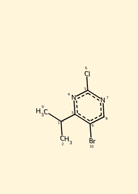 C[C](C)c1nc(Cl)ncc1Br